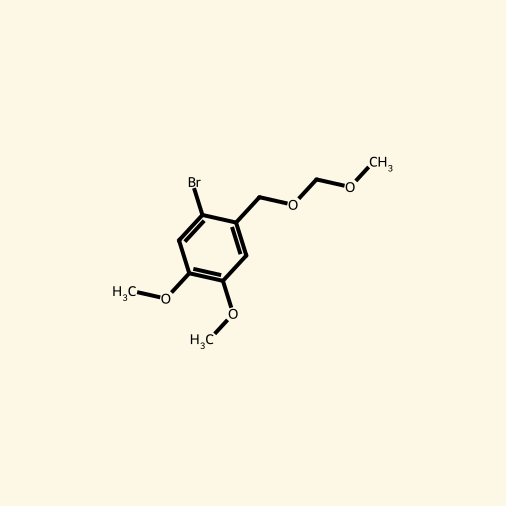 COCOCc1cc(OC)c(OC)cc1Br